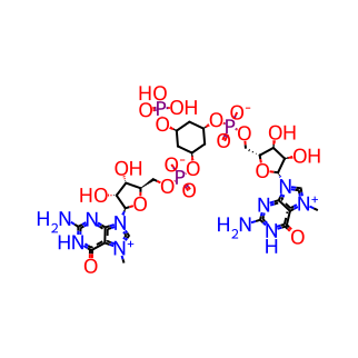 C[n+]1cn([C@@H]2O[C@H](COP(=O)([O-])O[C@@H]3C[C@H](OP(=O)(O)O)C[C@H](OP(=O)([O-])OC[C@H]4O[C@@H](n5c[n+](C)c6c(=O)[nH]c(N)nc65)[C@H](O)[C@@H]4O)C3)[C@@H](O)[C@H]2O)c2nc(N)[nH]c(=O)c21